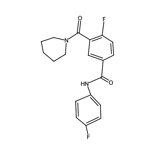 O=C(Nc1ccc(F)cc1)c1ccc(F)c(C(=O)N2CCCCC2)c1